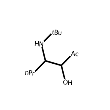 CCCC(NC(C)(C)C)C(O)C(C)=O